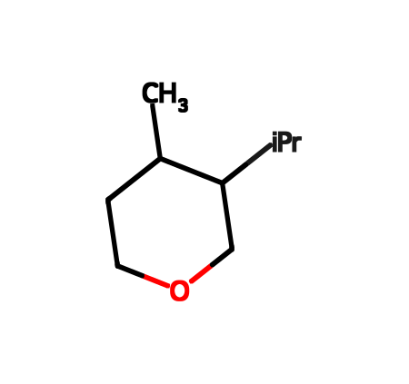 CC(C)C1COCCC1C